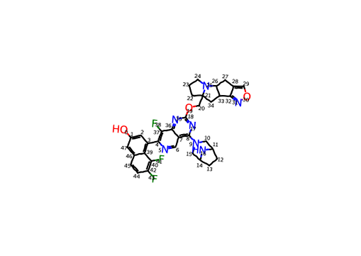 Oc1cc(-c2ncc3c(N4CC5CCC(C4)N5)nc(OCC45CCCN4C4Cc6conc6C4C5)nc3c2F)c2c(F)c(F)ccc2c1